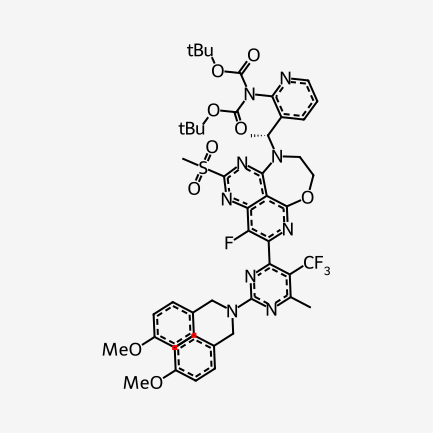 COc1ccc(CN(Cc2ccc(OC)cc2)c2nc(C)c(C(F)(F)F)c(-c3nc4c5c(nc(S(C)(=O)=O)nc5c3F)N([C@H](C)c3cccnc3N(C(=O)OC(C)(C)C)C(=O)OC(C)(C)C)CCO4)n2)cc1